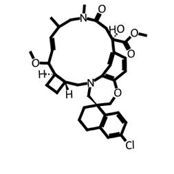 COC(=O)[C@]1(O)CC(=O)N(C)CC(C)/C=C/C(OC)[C@@H]2CC[C@H]2CN2C[C@@]3(CCCc4cc(Cl)ccc43)COc3ccc1cc32